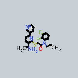 C=CCN(C(=O)CSc1nc(-c2cccnc2)ccc1C(=C)N)c1cccc(F)c1F